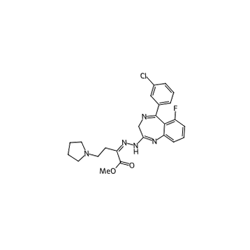 COC(=O)C(CCN1CCCC1)=NNC1=Nc2cccc(F)c2C(c2cccc(Cl)c2)=NC1